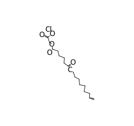 C=CCCCCCCCCC(=O)CCCCC(=O)OCC(=O)OCl